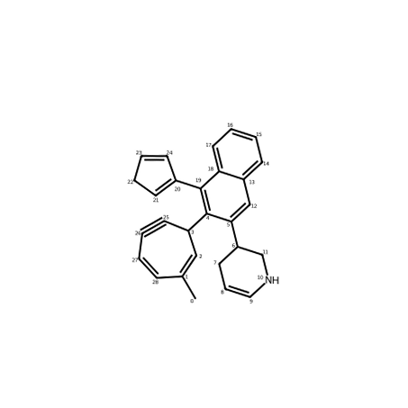 CC1=CC(c2c(C3CC=CNC3)cc3ccccc3c2C2=CCC=C2)C#CC=C1